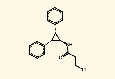 O=C(CCCl)N[C@@H]1[C@@H](c2ccccc2)[C@H]1c1ccccc1